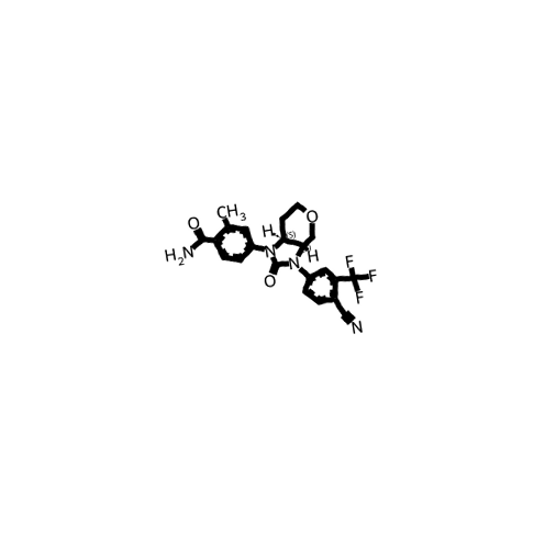 Cc1cc(N2C(=O)N(c3ccc(C#N)c(C(F)(F)F)c3)[C@H]3COCC[C@@H]32)ccc1C(N)=O